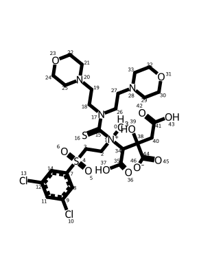 C[N+](CCS(=O)(=O)c1cc(Cl)cc(Cl)c1)(C(=S)N(CCN1CCOCC1)CCN1CCOCC1)C(C(=O)O)C(O)(CC(=O)O)C(=O)[O-]